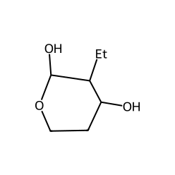 [CH2]CC1C(O)CCOC1O